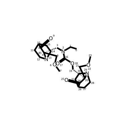 CCN(C[C@@]1(COC)C(=O)C2CCN1CC2)C(=O)OC[C@@]1(COC)C(=O)C2CCN1CC2